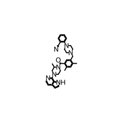 Cc1cc(C)c(C(=O)N2CCN(c3nccc4cc[nH]c34)CC2C)cc1CN1CCN(c2ccccc2C#N)CC1